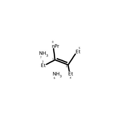 CCCC(CC)=C(CC)CC.N.N